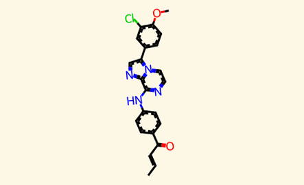 C/C=C/C(=O)c1ccc(Nc2nccn3c(-c4ccc(OC)c(Cl)c4)cnc23)cc1